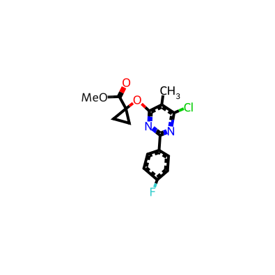 COC(=O)C1(Oc2nc(-c3ccc(F)cc3)nc(Cl)c2C)CC1